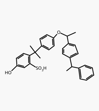 CC(Oc1ccc(C(C)(C)c2ccc(O)cc2S(=O)(=O)O)cc1)c1ccc(C(C)c2ccccc2)cc1